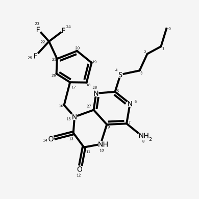 CCCCSc1nc(N)c2[nH]c(=O)c(=O)n(Cc3cccc(C(F)(F)F)c3)c2n1